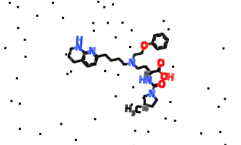 C[C@H]1CCN(C(=O)N[C@@H](CCN(CCCCc2ccc3c(n2)NCCC3)CCOc2ccccc2)C(=O)O)C1